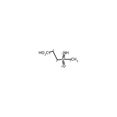 CS(=N)(=O)CCC(=O)O